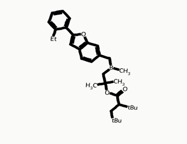 CCc1ccccc1-c1cc2ccc(CB(C)CC(C)(C)OC(=O)C(CC(C)(C)C)C(C)(C)C)cc2o1